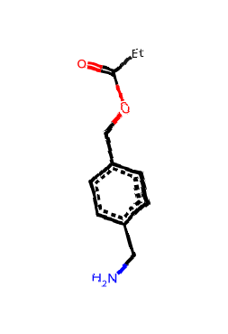 CCC(=O)OCc1ccc(CN)cc1